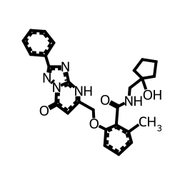 Cc1cccc(OCc2cc(=O)n3nc(-c4ccccc4)nc3[nH]2)c1C(=O)NCC1(O)CCCC1